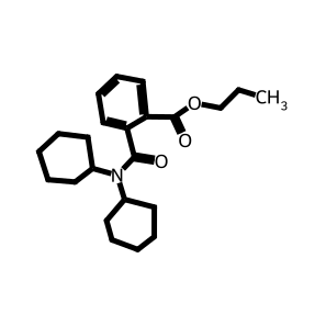 CCCOC(=O)c1ccccc1C(=O)N(C1CCCCC1)C1CCCCC1